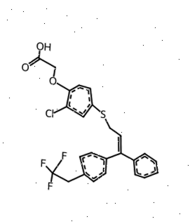 O=C(O)COc1ccc(SCC=C(c2ccccc2)c2ccc(CC(F)(F)F)cc2)cc1Cl